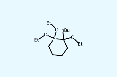 CCCCC1(OCC)CCCC[Si]1(OCC)OCC